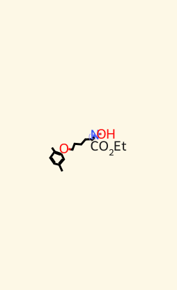 CCOC(=O)/C(CCCCOc1cc(C)ccc1C)=N\O